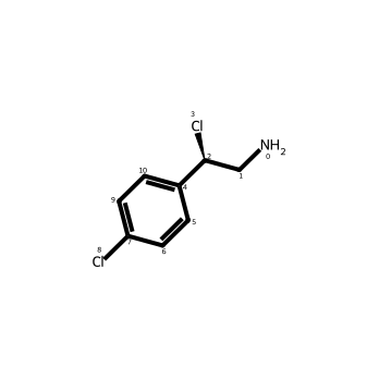 NC[C@H](Cl)c1ccc(Cl)cc1